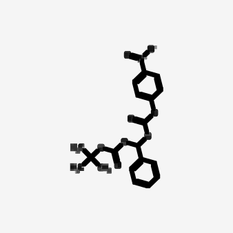 CC(C)(C)OC(=O)OC(OC(=O)Oc1ccc([N+](=O)[O-])cc1)c1ccccc1